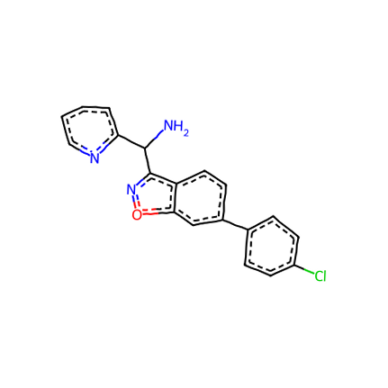 NC(c1ccccn1)c1noc2cc(-c3ccc(Cl)cc3)ccc12